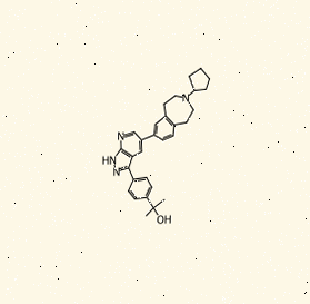 CC(C)(O)c1ccc(-c2n[nH]c3ncc(-c4ccc5c(c4)CCN(C4CCCC4)CC5)cc23)cc1